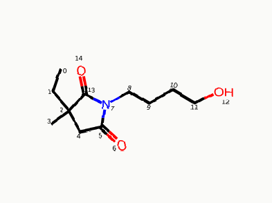 CCC1(C)CC(=O)N(CCCCO)C1=O